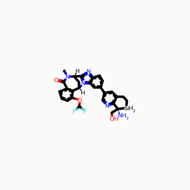 CN1C(=O)c2cccc(OC(F)F)c2[C@H]2C[C@@H]1c1nc3ccc(-c4cnc5c(c4)CC[SiH2][C@@]5(N)CO)cc3n12